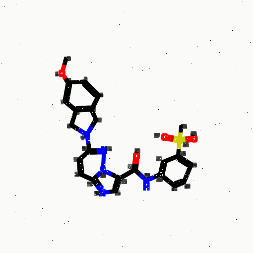 COc1ccc2c(c1)CN(c1ccc3ncc(C(=O)Nc4cccc(S(C)(=O)=O)c4)n3n1)C2